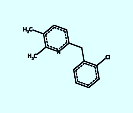 Cc1ccc(Cc2ccccc2Cl)nc1C